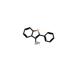 CCCC1=C(c2ccccc2)SC2C=CC=CC12